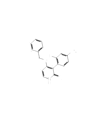 N#Cc1ccc(-c2c(OCc3ccccc3)cc[nH]c2=O)c(F)c1